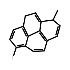 CC1C=Cc2ccc3c(I)ccc4c3c2C1=CC4